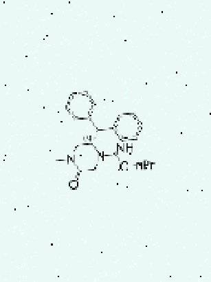 CCCOC(=N)N1CC(=O)N(C)C[C@@H]1C(c1ccccc1)c1ccccc1